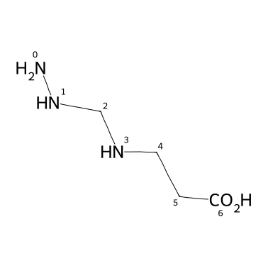 NNCNCCC(=O)O